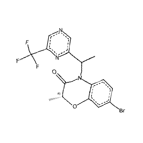 CC(c1cncc(C(F)(F)F)n1)N1C(=O)[C@@H](C)Oc2cc(Br)ccc21